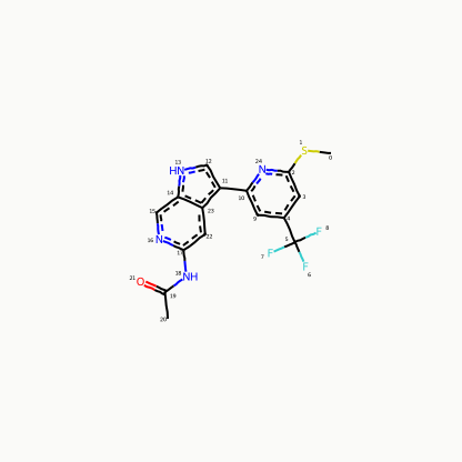 CSc1cc(C(F)(F)F)cc(-c2c[nH]c3cnc(NC(C)=O)cc23)n1